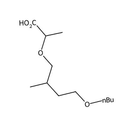 CCCCOCCC(C)COC(C)C(=O)O